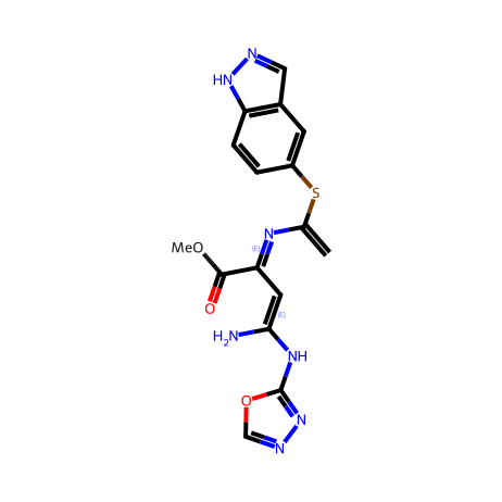 C=C(/N=C(\C=C(/N)Nc1nnco1)C(=O)OC)Sc1ccc2[nH]ncc2c1